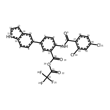 O=C(Nc1ccc(-c2ccc3[nH]ccc3c2)cc1C(=O)OC(=O)C(F)(F)F)c1ccc(Cl)cc1Cl